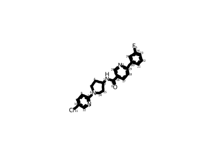 O=C(NC1CCN(c2ccc(Cl)cn2)CC1)c1ccc(-c2cccc(F)c2)nc1